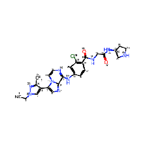 N#CCn1cc(-c2cnc3c(Nc4ccc(C(=O)NCC(=O)N[C@H]5CCNC5)c(Cl)c4)nccn23)c(C(F)(F)F)n1